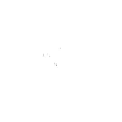 Cc1cccc(-n2c3c(c4cc(C)ccc42)Oc2ccccc2N3)c1